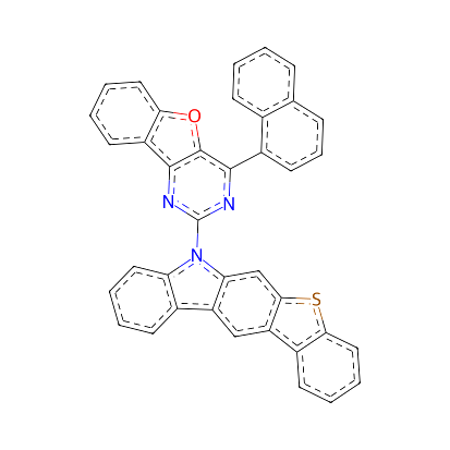 c1ccc2c(-c3nc(-n4c5ccccc5c5cc6c(cc54)sc4ccccc46)nc4c3oc3ccccc34)cccc2c1